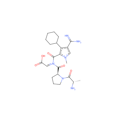 C[C@H](N)C(=O)N1CCC[C@H]1C(=O)[N+](=CC(=O)O)C(=O)c1c(C2CCCCC2)c(C(=N)N)cn1C